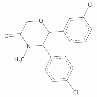 CN1C(=O)COC(c2cccc(Cl)c2)C1c1ccc(Cl)cc1